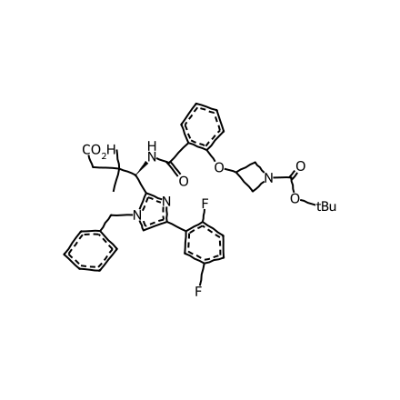 CC(C)(C)OC(=O)N1CC(Oc2ccccc2C(=O)N[C@@H](c2nc(-c3cc(F)ccc3F)cn2Cc2ccccc2)C(C)(C)CC(=O)O)C1